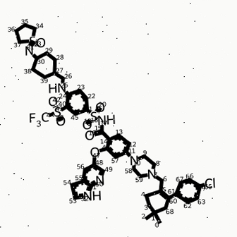 CC1(C)CCC(CN2CCN(c3ccc(C(=O)NS(=O)(=O)c4ccc(NCC5CCC(N=S6(=O)CCCC6)CC5)c(S(=O)(=O)C(F)(F)F)c4)c(Oc4cnc5[nH]ccc5c4)c3)CC2)=C(c2ccc(Cl)cc2)C1